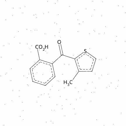 Cc1ccsc1C(=O)c1ccccc1C(=O)O